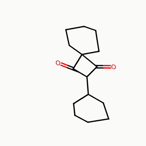 O=C1C(C2CCCCC2)C(=O)C12CCCCC2